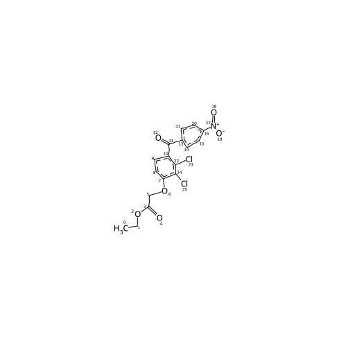 CCOC(=O)COc1ccc(C(=O)c2ccc([N+](=O)[O-])cc2)c(Cl)c1Cl